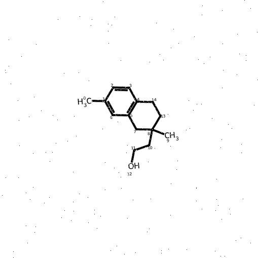 Cc1ccc2c(c1)CC(C)(CCO)CC2